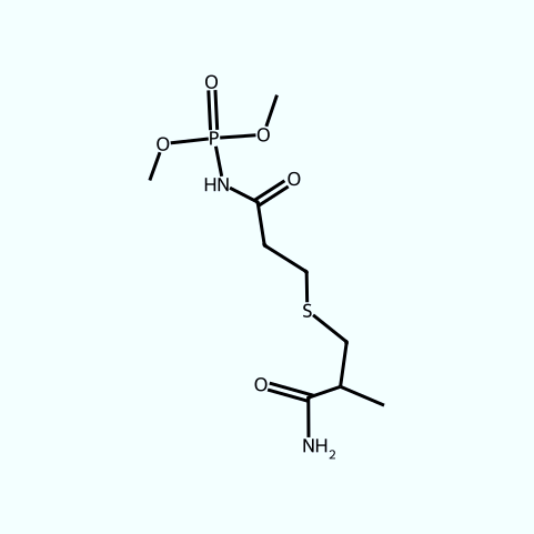 COP(=O)(NC(=O)CCSCC(C)C(N)=O)OC